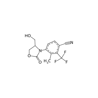 Cc1c(N2C(=O)OCC2CO)ccc(C#N)c1C(F)(F)F